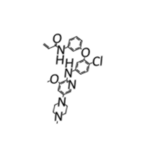 C=CC(=O)Nc1cccc(Oc2cc(Nc3ncc(N4CCN(C)CC4)cc3OC)ccc2Cl)c1